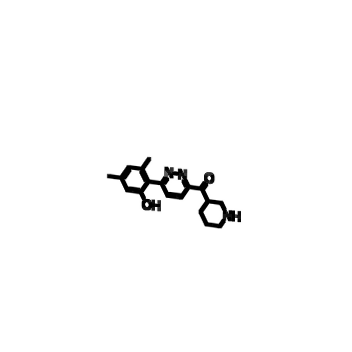 Cc1cc(C)c(-c2ccc(C(=O)C3CCCNC3)nn2)c(O)c1